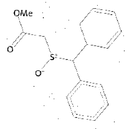 COC(=O)C[S+]([O-])C(c1ccccc1)C1C=CC=CC1